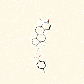 Cc1ccc(S(=O)(=O)OC[C@H]2CC[C@H]3C4CC[C@H]5N(C)C(=O)C=C[C@]5(C)C4CC[C@]23C)cc1